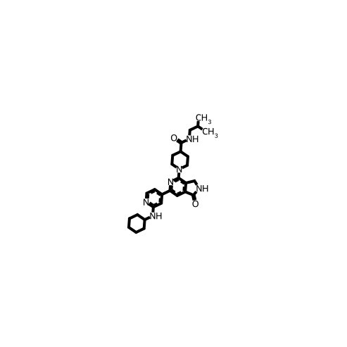 CC(C)CNC(=O)C1CCN(c2nc(-c3ccnc(NC4CCCCC4)c3)cc3c2CNC3=O)CC1